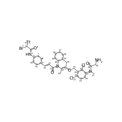 CCC(Br)C(=O)Nc1ccc(C=CC(=O)N2C(C)=C(OCc3c(Cl)ccc(N(C)C(=O)CN)c3Cl)Cc3ccccc32)cc1